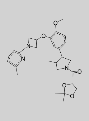 COc1ccc(C2CN(C(=O)[C@@H]3COC(C)(C)O3)CC2C)cc1OC1CN(c2cccc(C)n2)C1